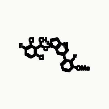 COc1cccc(-c2cnc3ccn(OC(C)c4c(Cl)ccc(F)c4Cl)c3c2)c1F